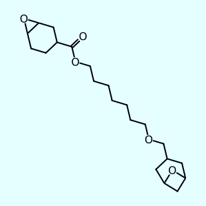 O=C(OCCCCCCCOCC1CC2CC(C1)O2)C1CCC2OC2C1